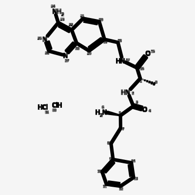 C[C@H](NC(=O)[C@H](N)CCc1ccccc1)C(=O)NCc1ccc2c(N)ncnc2c1.Cl.Cl